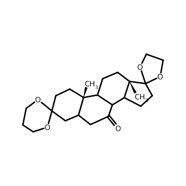 C[C@]12CCC3(CC1CC(=O)C1C2CC[C@@]2(C)C1CCC21OCCO1)OCCCO3